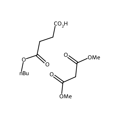 CCCCOC(=O)CCC(=O)O.COC(=O)CC(=O)OC